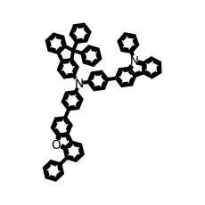 c1ccc(-c2cccc3c2oc2ccc(-c4ccc(N(c5ccc(-c6ccc7c8ccccc8n(-c8ccccc8)c7c6)cc5)c5ccc6c(c5)C(c5ccccc5)(c5ccccc5)c5ccccc5-6)cc4)cc23)cc1